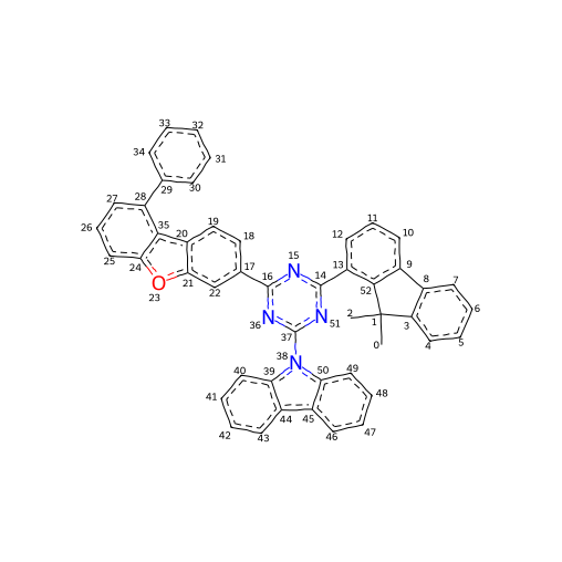 CC1(C)c2ccccc2-c2cccc(-c3nc(-c4ccc5c(c4)oc4cccc(-c6ccccc6)c45)nc(-n4c5ccccc5c5ccccc54)n3)c21